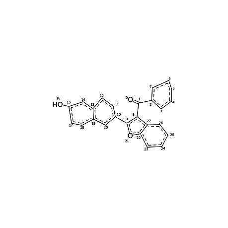 O=C(c1ccccc1)c1c(-c2ccc3cc(O)ccc3c2)oc2ccccc12